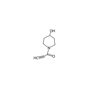 C#CC(=O)N1CCC(O)CC1